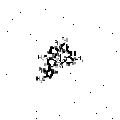 [2H]c1nc(Nc2cc(C(=O)Nc3cc(C)cc(-n4c([2H])cc(C)c4[2H])c3)ccc2C)nc(-c2cccnc2)c1[2H]